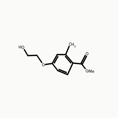 COC(=O)c1ccc(OCCO)cc1C